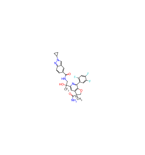 C[C@]1(C(N)=O)COc2c1cc(C(O)(CNC(=O)c1ccc3nn(C4CC4)cc3c1)C(F)(F)F)nc2-c1cc(F)c(F)cc1F